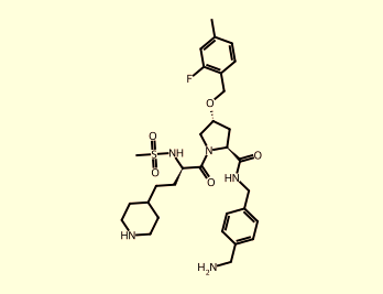 Cc1ccc(CO[C@@H]2C[C@@H](C(=O)NCc3ccc(CN)cc3)N(C(=O)[C@@H](CCC3CCNCC3)NS(C)(=O)=O)C2)c(F)c1